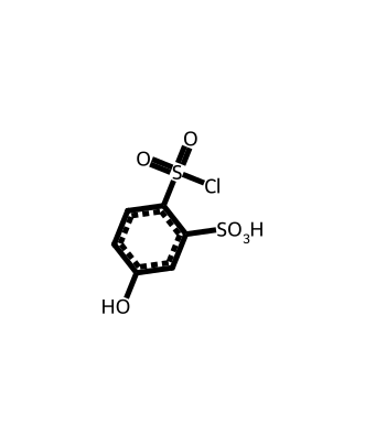 O=S(=O)(O)c1cc(O)ccc1S(=O)(=O)Cl